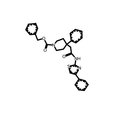 O=C(CC1(c2ccccc2)CCN(C(=O)OCc2ccccc2)CC1)Nc1nc(-c2ccccc2)cs1